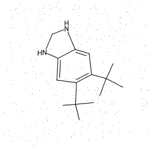 CC(C)(C)c1cc2c(cc1C(C)(C)C)NCN2